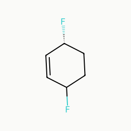 FC1C=C[C@H](F)CC1